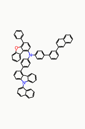 c1ccc(-c2ccc(N(c3ccc(-c4cccc(-c5ccc6ccccc6c5)c4)cc3)c3ccc(-c4cccc5c4c4ccccc4n5-c4cccc5ccccc45)cc3)c3c2oc2ccccc23)cc1